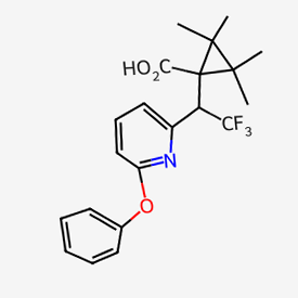 CC1(C)C(C)(C)C1(C(=O)O)C(c1cccc(Oc2ccccc2)n1)C(F)(F)F